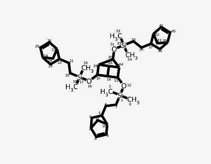 C[Si](C)(CCC1CC2C=CC1C2)OC1C2C(O[Si](C)(C)CCC3CC4C=CC3C4)C3C(O[Si](C)(C)CCC4CC5C=CC4C5)C1C23